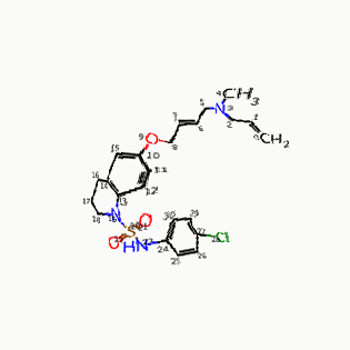 C=CCN(C)C/C=C/COc1ccc2c(c1)CCCN2S(=O)(=O)Nc1ccc(Cl)cc1